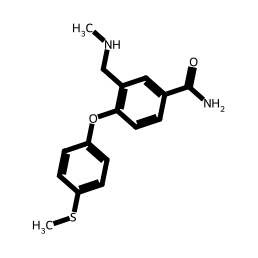 CNCc1cc(C(N)=O)ccc1Oc1ccc(SC)cc1